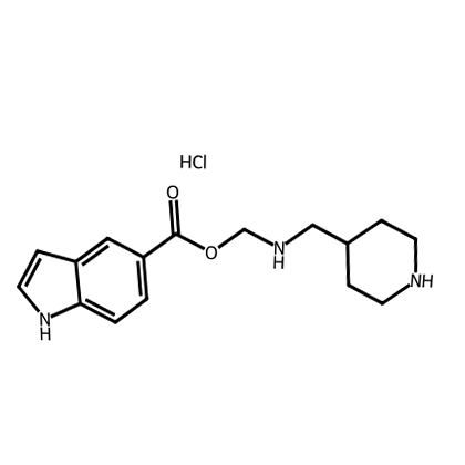 Cl.O=C(OCNCC1CCNCC1)c1ccc2[nH]ccc2c1